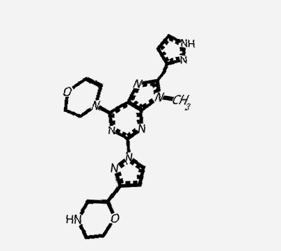 Cn1c(-c2cc[nH]n2)nc2c(N3CCOCC3)nc(-n3ccc(C4CNCCO4)n3)nc21